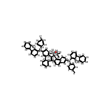 Cc1ccc(N(c2ccc3c4c(ccc3c2)-c2c(c3ccc(N(c5ccc(C)cc5)c5cccc6c5oc5ccccc56)cc3c3ccccc23)C4([Si](C)(C)C)[Si](C)(C)C)c2cccc3c2oc2ccccc23)cc1